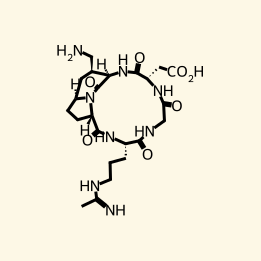 CC(=N)NCCC[C@@H]1NC(=O)[C@@H]2CC[C@H]3C[C@@H](CN)[C@@H](NC(=O)[C@H](CC(=O)O)NC(=O)CNC1=O)C(=O)N32